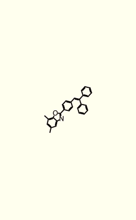 Cc1cc(C)c2oc(-c3ccc(C=C(c4ccccc4)c4ccccc4)cc3)nc2c1